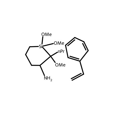 C=Cc1ccccc1.CCCC1(OC)C(N)CCC[Si]1(OC)OC